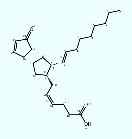 CCCCCCC/C=C/[C@H]1CCC[C@@H]1C/C=C\CCC(=O)O.O=C1C=CCC1